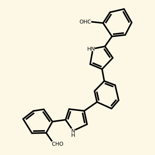 O=Cc1ccccc1-c1cc(-c2cccc(-c3c[nH]c(-c4ccccc4C=O)c3)c2)c[nH]1